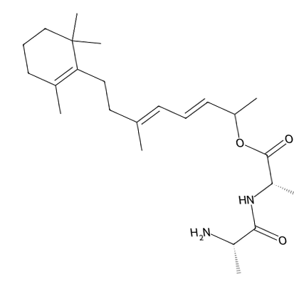 CC(=CC=CC(C)OC(=O)[C@H](C)NC(=O)[C@H](C)N)CCC1=C(C)CCCC1(C)C